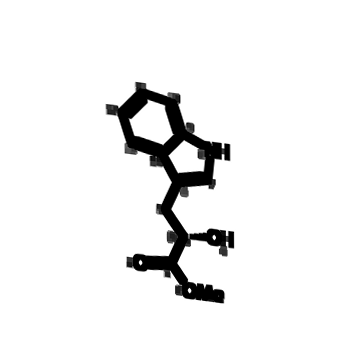 COC(=O)[C@@H](O)Cc1c[nH]c2ccccc12